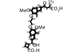 COc1cc2sc(C(=O)C[C@H](C)C(=O)O)cc2c(F)c1OCCCOc1cc2sc(C(O)[C@@H]3CC[C@H]3C(=O)O)cc2c(F)c1OC